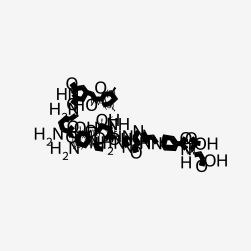 CCN[C@@H]1C[C@H](N)[C@@H](OC2OC(CN)=CCC2N)[C@H](O)[C@H]1O[C@H]1OC[C@](C)(O)[C@H](NC)[C@H]1O.C[C@@H]1C[C@@H]([C@H](O)CC2CC(=O)NC(=O)C2)C(=O)[C@@H](C)C1.Nc1nc(=O)c2nc(CNc3ccc(C(=O)N[C@@H](CCC(=O)O)C(=O)O)cc3)cnc2[nH]1